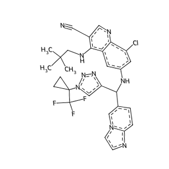 CC(C)(C)CNc1c(C#N)cnc2c(Cl)cc(NC(c3ccc4nccn4c3)c3cn(C4(C(F)(F)F)CC4)nn3)cc12